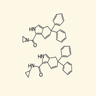 O=C(NC1CC1)c1[nH]cc2c1C=CC(c1ccccc1)(c1ccccc1)C2.O=C(c1[nH]cc2c1C=CC(c1ccccc1)(c1ccccc1)C2)N1CC1